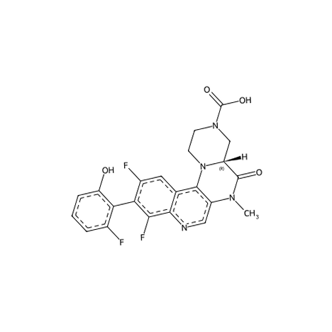 CN1C(=O)[C@H]2CN(C(=O)O)CCN2c2c1cnc1c(F)c(-c3c(O)cccc3F)c(F)cc21